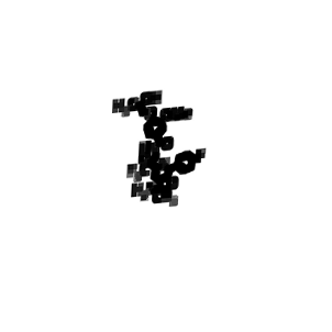 COc1cc(C(=O)NCC(O)(c2cc3c(c(C4=CCC(F)C=C4)n2)OCC3(C)N)C(F)(F)F)ccc1OCC(C)O